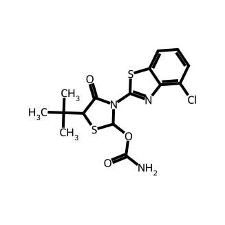 CC(C)(C)C1SC(OC(N)=O)N(c2nc3c(Cl)cccc3s2)C1=O